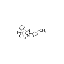 C=Cc1cccc(C2=NCC(c3ccccc3C(C)(F)F)=N2)c1